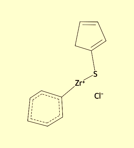 C1=CCC([S][Zr+][c]2ccccc2)=C1.[Cl-]